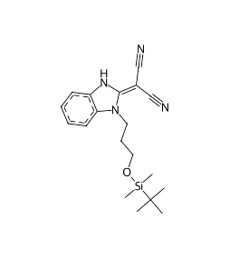 CC(C)(C)[Si](C)(C)OCCCN1C(=C(C#N)C#N)Nc2ccccc21